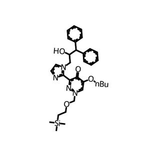 CCCCOc1cn(COCC[Si](C)(C)C)nc(-c2nccn2CC(O)C(c2ccccc2)c2ccccc2)c1=O